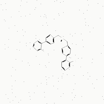 O=S(=O)(Cc1ccc(-c2ccccc2Cl)cc1)Cc1ccc(-c2ccccc2Cl)cc1